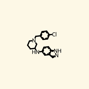 Clc1ccc(CN2CCCC(Nc3ccc4[nH]ncc4c3)C2)cc1